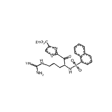 CCOC(=O)c1csc(C(=O)C(CCCNC(=N)N)NS(=O)(=O)c2cccc3ccccc23)n1